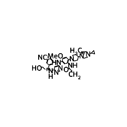 C=CC(=O)Nc1cc(Nc2cc(N[C@H](CCO)c3cccc(C#N)c3)ncn2)c(OC)cc1N1CCC(N2CCN(C3CC3)C[C@H]2C)CC1